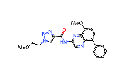 COCCn1cc(C(=O)Nc2cnc3c(-c4ccccc4)ccc(OC)c3n2)nn1